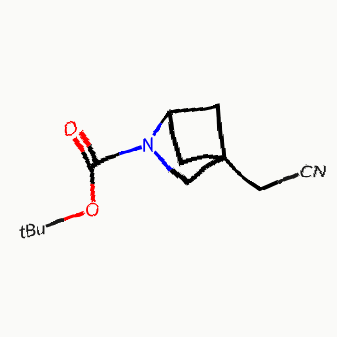 CC(C)(C)OC(=O)N1CC2(CC#N)CC1C2